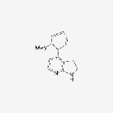 CSC1C=CC=CC1c1ccnc2c1CCN2